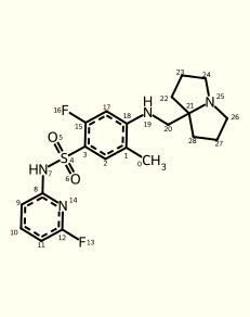 Cc1cc(S(=O)(=O)Nc2cccc(F)n2)c(F)cc1NCC12CCCN1CCC2